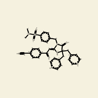 CN(C)S(=O)(=O)c1ccc(CN2C(=O)C(Cc3ccncc3)(Cc3ccncc3)N/C2=C\C(=O)c2ccc(C#N)cc2)cc1